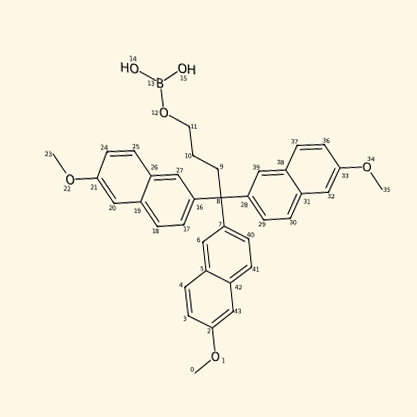 COc1ccc2cc(C(CCCOB(O)O)(c3ccc4cc(OC)ccc4c3)c3ccc4cc(OC)ccc4c3)ccc2c1